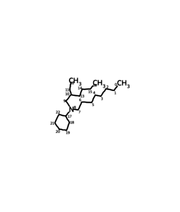 CCCCCCCCN(CC(CC)CCCC)C1CCCCC1